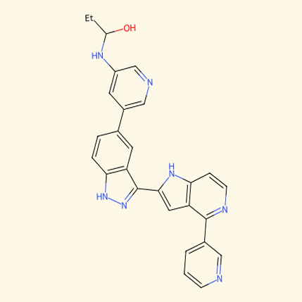 CCC(O)Nc1cncc(-c2ccc3[nH]nc(-c4cc5c(-c6cccnc6)nccc5[nH]4)c3c2)c1